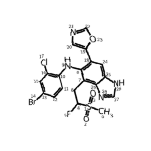 CS(=O)(=O)C(F)Cc1c(Nc2ccc(Br)cc2Cl)c(-c2cnco2)cc2[nH]cnc12